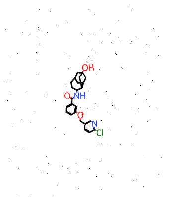 O=C(NC1CCC2CC3CC(O)(C2)CC31)c1cccc(OCc2ccc(Cl)nc2)c1